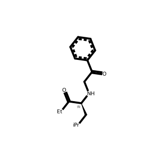 CCC(=O)[C@H](CC(C)C)NCC(=O)c1ccccc1